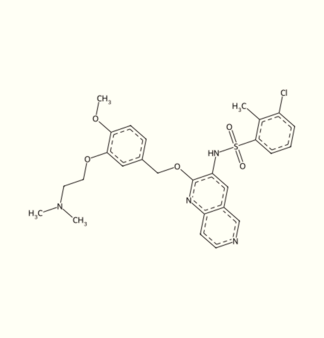 COc1ccc(COc2nc3ccncc3cc2NS(=O)(=O)c2cccc(Cl)c2C)cc1OCCN(C)C